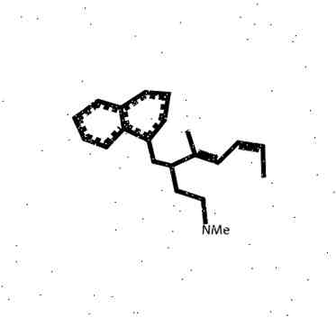 C/C=C\C=C(/C)C(CCNC)Cc1cccc2ccccc12